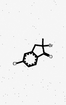 CC1(Br)Cc2cc(Cl)ccc2C1=O